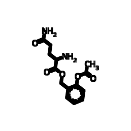 CC(=O)Oc1ccccc1COC(=O)C(N)CCC(N)=O